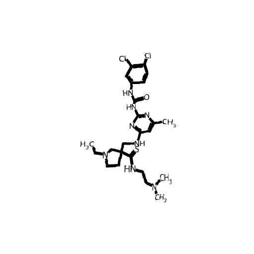 CCN1CCC(CNc2cc(C)nc(NC(=O)Nc3ccc(Cl)c(Cl)c3)n2)(C(=S)NCCN(C)C)C1